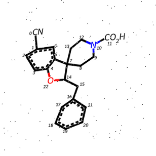 N#Cc1ccc2c(c1)C1(CCN(C(=O)O)CC1)C(Cc1ccccc1)O2